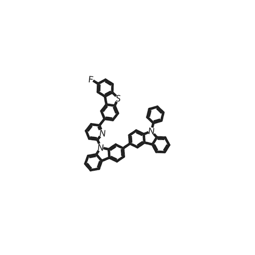 Fc1ccc2sc3ccc(-c4cccc(-n5c6ccccc6c6ccc(-c7ccc8c(c7)c7ccccc7n8-c7ccccc7)cc65)n4)cc3c2c1